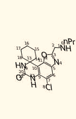 CCCNCc1nc2cc(Cl)c3c(c2o1)C1(CCCCC1)NC(=O)N3